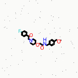 COCc1ccc(CNC(=O)COC2CCN(CC(=O)c3ccc(F)cc3)CC2)cc1